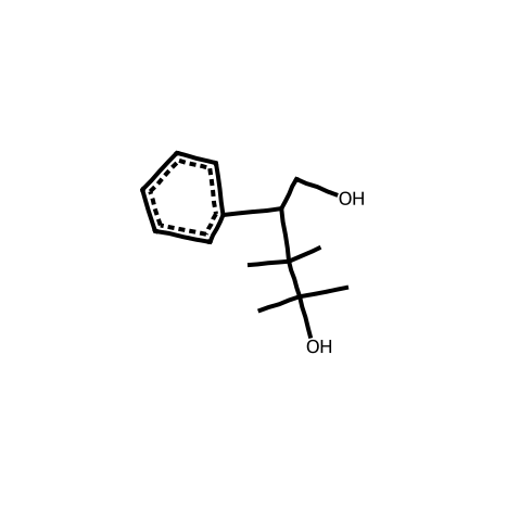 CC(C)(O)C(C)(C)C(CO)c1ccccc1